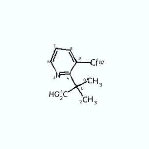 CC(C)(C(=O)O)c1ncccc1Cl